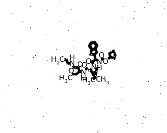 C=CCNC(=O)C(=O)C(CCC)NC(=O)[C@@H]1C2C(CN1C(=O)C(NC(=O)OC1CCCC1)C1Cc3ccccc3C1)C2(C)C